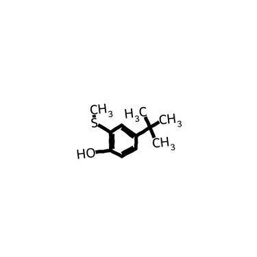 CSc1cc(C(C)(C)C)ccc1O